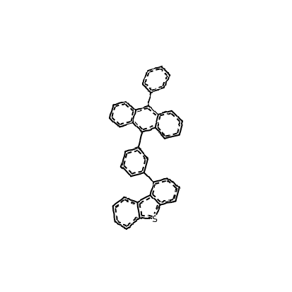 c1ccc(-c2c3ccccc3c(-c3cccc(-c4cccc5sc6ccccc6c45)c3)c3ccccc23)cc1